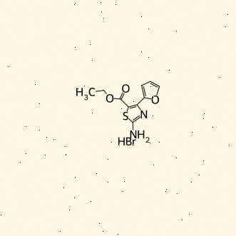 Br.CCOC(=O)c1sc(N)nc1-c1ccco1